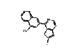 CC(C)(C)c1cc(-c2nccc3nc(Cl)sc23)cc2ccccc12